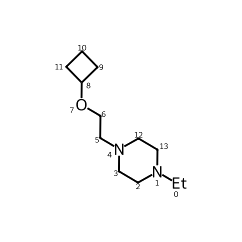 CCN1CCN(CCOC2CCC2)CC1